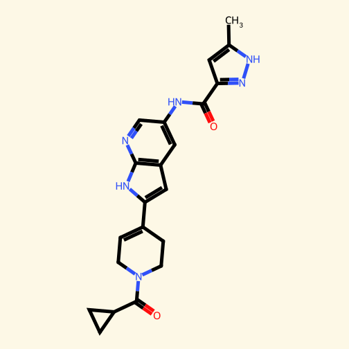 Cc1cc(C(=O)Nc2cnc3[nH]c(C4=CCN(C(=O)C5CC5)CC4)cc3c2)n[nH]1